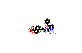 CCCN(OC(c1ccccc1)c1cccnc1)C(=O)CCC1CCCc2c(C(=O)C(=O)O)cccc21